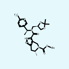 C[C@@H]1Cc2n[nH]c(C(=O)N(C[C@@H]3COC(C)(C)O3)[C@@H](C)c3ccc(C(F)(F)F)nc3)c2CN1C(=O)OC(C)(C)C